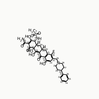 CS(=O)(=O)N[C@@H]1C(O)=C(C(N)=O)C(=O)[C@@]2(O)C(O)=C3C(=O)c4c(O)cc(CN5CCC(c6ccccc6)CC5)c(F)c4C[C@H]3C[C@@H]12